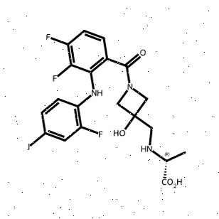 C[C@@H](NCC1(O)CN(C(=O)c2ccc(F)c(F)c2Nc2ccc(I)cc2F)C1)C(=O)O